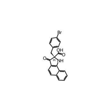 O=C(O)[C@]1(Cc2ccc(Br)cc2)Nc2c(ccc3ccccc23)C1=O